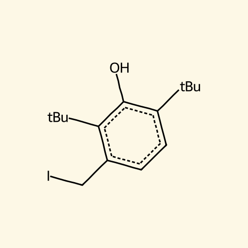 CC(C)(C)c1ccc(CI)c(C(C)(C)C)c1O